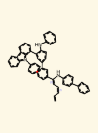 C=C/C=C\C=C(/Nc1ccc(-c2ccccc2)cc1)c1cccc(-c2ccc(Nc3ccccc3)c(-c3cccc4c5ccccc5n(-c5ccccc5)c34)c2)c1